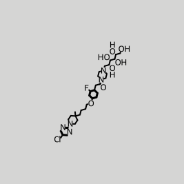 CC1(CCCCOc2ccc(CC(=O)N3CCN(C[C@H](O)[C@@H](O)[C@H](O)[C@H](O)CO)CC3)c(F)c2)CCN(c2ncc(Cl)cn2)CC1